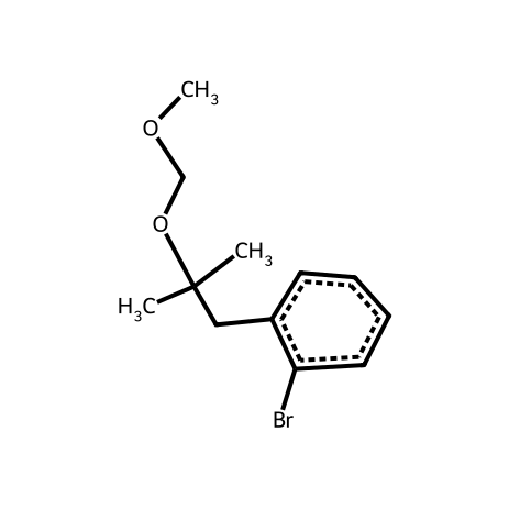 COCOC(C)(C)Cc1ccccc1Br